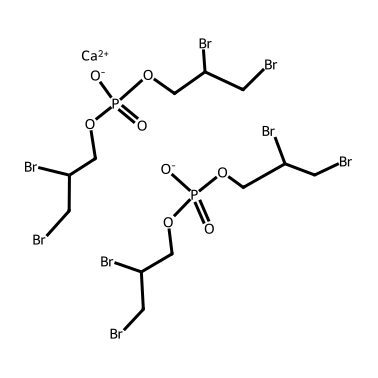 O=P([O-])(OCC(Br)CBr)OCC(Br)CBr.O=P([O-])(OCC(Br)CBr)OCC(Br)CBr.[Ca+2]